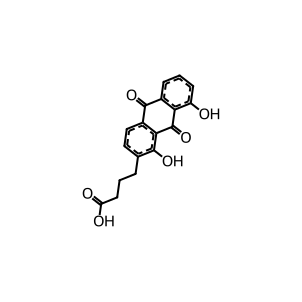 O=C(O)CCCc1ccc2c(c1O)C(=O)c1c(O)cccc1C2=O